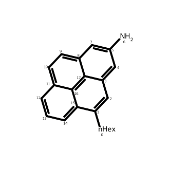 CCCCCCc1cc2cc(N)cc3ccc4cccc1c4c32